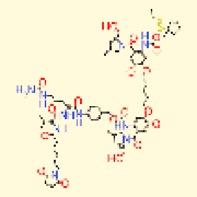 C=C1C[C@@H](CO)N(C(=O)c2cc(OC)c(OCCCCCOc3cc(NC(=O)OCC4(SSCC)CCCC4)c(C(=O)N4CC(=C)C[C@H]4CO)cc3OC)cc2NC(=O)OCc2ccc(NC(=O)[C@H](CCCNC(N)=O)NC(=O)[C@@H](NC(=O)CCCCCN3C(=O)C=CC3=O)C(C)C)cc2)C1